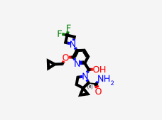 NC(=O)[C@@H]1N(C(O)c2ccc(N3CC(F)(F)C3)c(OCC3CC3)n2)CCC12CC2